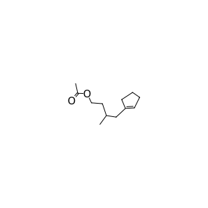 CC(=O)OCCC(C)CC1=CCCC1